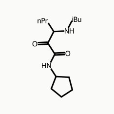 CCCC(NC(C)CC)C(=O)C(=O)NC1CCCC1